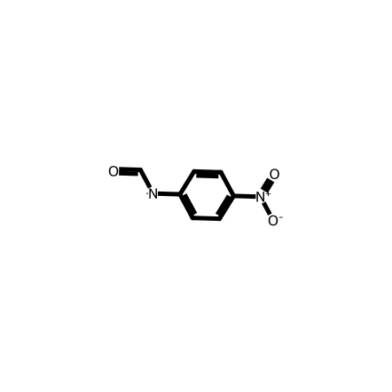 O=C[N]c1ccc([N+](=O)[O-])cc1